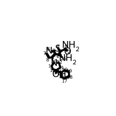 NC(=O)c1sc2nccc(N3CCC(O)(c4ccccc4)CC3)c2c1N